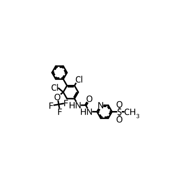 CS(=O)(=O)c1ccc(NC(=O)NC2=CC(Cl)=C(c3ccccc3)C(Cl)(OC(F)(F)F)C2)nc1